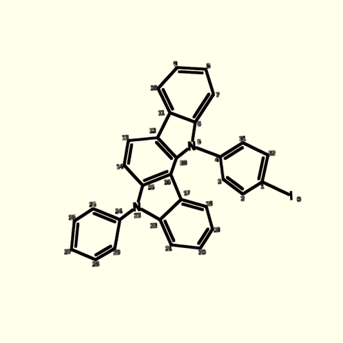 Ic1ccc(-n2c3ccccc3c3ccc4c(c5ccccc5n4-c4ccccc4)c32)cc1